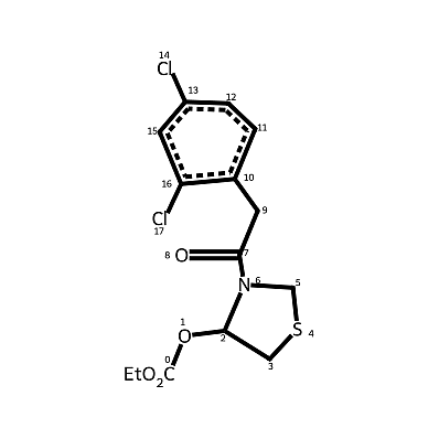 CCOC(=O)OC1CSCN1C(=O)Cc1ccc(Cl)cc1Cl